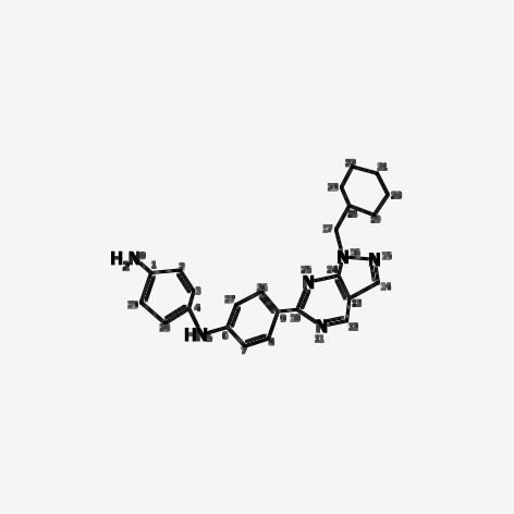 Nc1ccc(Nc2ccc(-c3ncc4cnn(CC5CCCCC5)c4n3)cc2)cc1